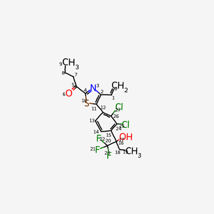 C=Cc1nc(C(=O)CCC)sc1-c1ccc(C(O)(CC)C(F)(F)F)c(Cl)c1Cl